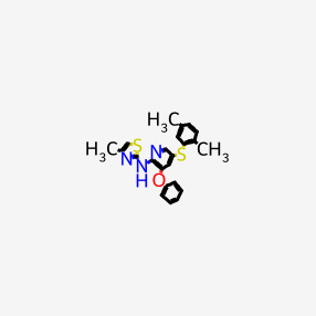 Cc1ccc(C)c(Sc2cnc(Nc3nc(C)cs3)c(Oc3ccccc3)c2)c1